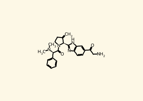 C=C1CCN(C(=O)[C@@H](c2ccccc2)N(C)C)[C@@H]1c1nc2ccc(C(=O)CN)cc2[nH]1